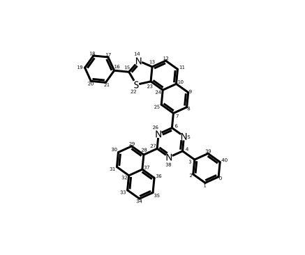 c1ccc(-c2nc(-c3ccc4ccc5nc(-c6ccccc6)sc5c4c3)nc(-c3cccc4ccccc34)n2)cc1